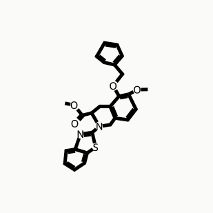 COC(=O)C1Cc2c(ccc(OC)c2OCc2ccccc2)CN1c1nc2ccccc2s1